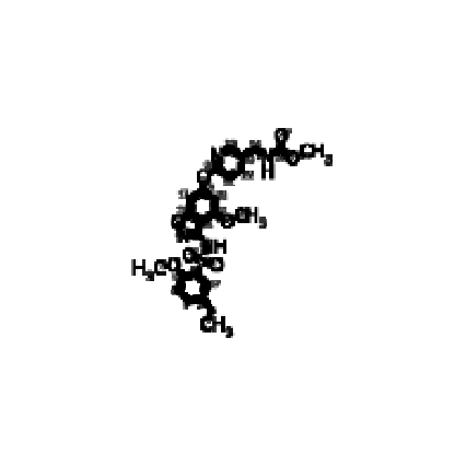 CCc1ccc(OC)c(S(=O)(=O)Nc2noc3cc(Oc4ccc(CNC(=O)OC)cn4)cc(OC)c23)c1